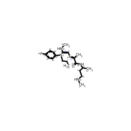 CCCN(/C(=C\N=C(/C)C(=O)NC(C)CCNC)NC)c1ccc(F)cc1